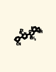 CCOc1nc(C(=O)N(C)Cc2cncc3cn[nH]c23)ccc1-c1cccc(C#N)c1